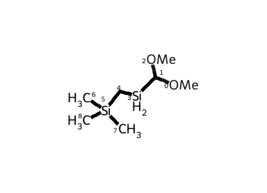 COC(OC)[SiH2]C[Si](C)(C)C